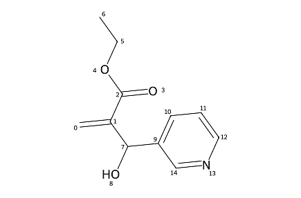 C=C(C(=O)OCC)C(O)c1cccnc1